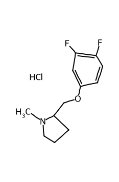 CN1CCCC1COc1ccc(F)c(F)c1.Cl